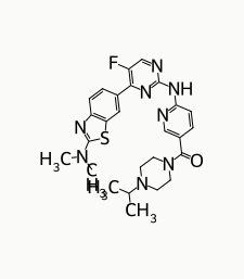 CC(C)N1CCN(C(=O)c2ccc(Nc3ncc(F)c(-c4ccc5nc(N(C)C)sc5c4)n3)nc2)CC1